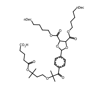 CCCCCCCCCCCCCCOC(=O)C1OC(c2ccc(C(=O)C(C)(C)OCCC(C)(C)OC(=O)CCCC(=O)O)cc2)OC1C(=O)OCCCCCCCCCCCCCC